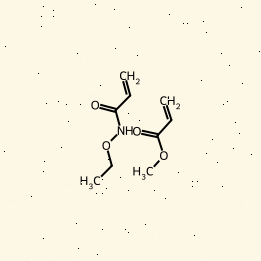 C=CC(=O)NOCC.C=CC(=O)OC